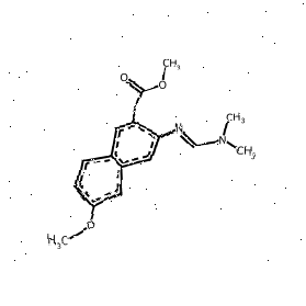 COC(=O)c1cc2ccc(OC)cc2cc1/N=C/N(C)C